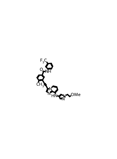 COCCn1cc(Nc2cccn3c(C#Cc4cc(C(=O)Nc5cccc(C(F)(F)F)c5)ccc4C)cnc23)cn1